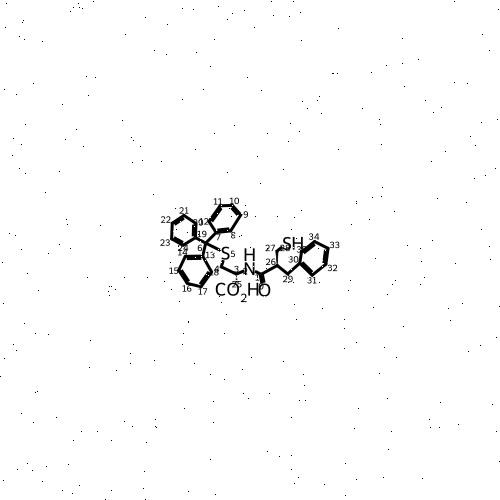 O=C(N[C@@H](CSC(c1ccccc1)(c1ccccc1)c1ccccc1)C(=O)O)[C@@H](CS)Cc1ccccc1